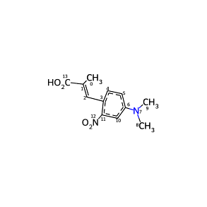 C/C(=C\c1ccc(N(C)C)cc1[N+](=O)[O-])C(=O)O